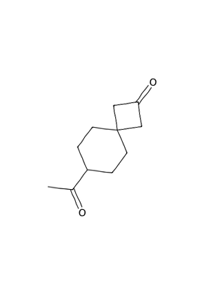 CC(=O)C1CCC2(CC1)CC(=O)C2